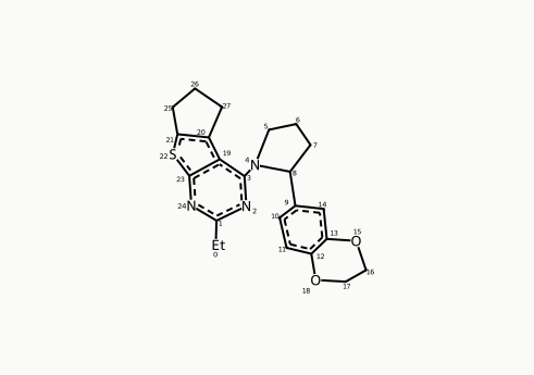 CCc1nc(N2CCCC2c2ccc3c(c2)OCCO3)c2c3c(sc2n1)CCC3